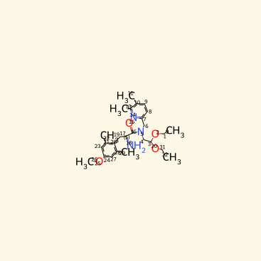 CCOC(CN(Cc1ccc(C)c(C)n1)C(=O)[C@@H](N)Cc1c(C)cc(OC)cc1C)OCC